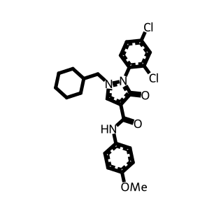 COc1ccc(NC(=O)c2cn(CC3CCCCC3)n(-c3ccc(Cl)cc3Cl)c2=O)cc1